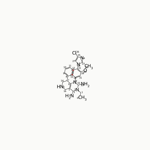 CCN1C(N)C2=C(C(c3ccccc3)CNC2)N(c2ccc(-n3cnc(Cl)c3)c(OC)c2)C1N